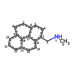 CNCc1ccc2ccc3cccc4ccc1c2c34